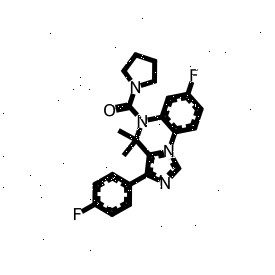 CC1(C)c2c(-c3ccc(F)cc3)ncn2-c2ccc(F)cc2N1C(=O)N1CCCC1